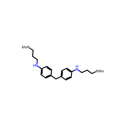 CNCCCNc1ccc(Cc2ccc(NCCCNC)cc2)cc1